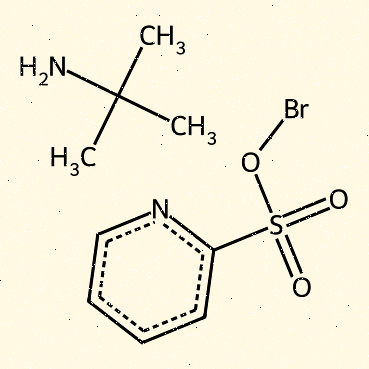 CC(C)(C)N.O=S(=O)(OBr)c1ccccn1